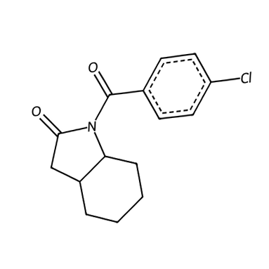 O=C1CC2CCCCC2N1C(=O)c1ccc(Cl)cc1